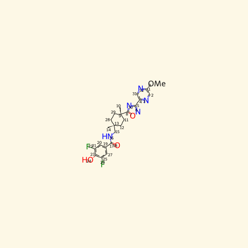 COc1cnc(-c2noc([C@]3(C)CC[C@](C)(CNC(=O)c4cc(F)c(O)c(F)c4)CC3)n2)cn1